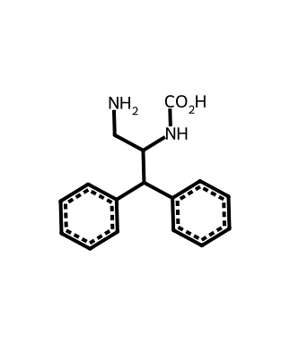 NCC(NC(=O)O)C(c1ccccc1)c1ccccc1